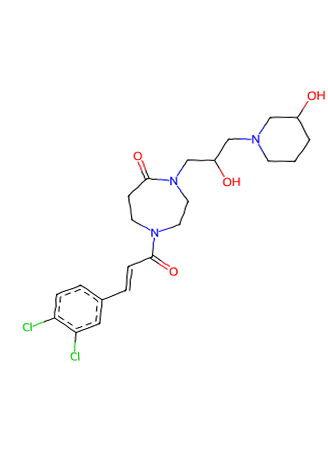 O=C(/C=C/c1ccc(Cl)c(Cl)c1)N1CCC(=O)N(CC(O)CN2CCCC(O)C2)CC1